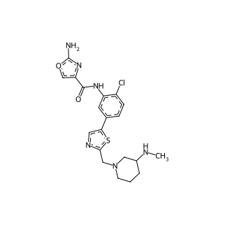 CNC1CCCN(Cc2ncc(-c3ccc(Cl)c(NC(=O)c4coc(N)n4)c3)s2)C1